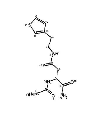 CCCCCCCC(=O)N[C@H](CC(=O)NCCc1ccsc1)C(N)=O